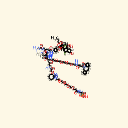 CCCC1O[C@@H]2C[C@H]3[C@@H]4C[C@H](F)C5=CC(=O)C=C[C@]5(C)[C@@]4(F)[C@@H](O)C[C@]3(C)[C@]2(C(=O)COc2ccc(NC(=O)[C@H](CCCNC(N)=O)NC(=O)[C@@H](NC(=O)[C@@H](CCCCNC(=O)COC3CCCCCc4c3nnn4CCOCCOCCOCCOCCC(=O)NCCS(=O)(=O)O)NC(=O)CCOCCOCCOCCOCCNC(=O)CCC(=O)N3Cc4ccccc4C#Cc4ccccc43)C(C)C)cc2)O1